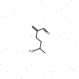 C=C([C]=O)CCC(C)N